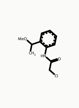 COC(C)c1ccccc1NC(=O)CCl